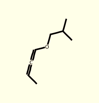 CC=C=COCC(C)C